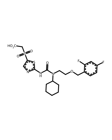 O=C(O)CS(=O)(=O)c1cnc(NC(=O)N(CCOCc2ccc(F)cc2F)C2CCCCC2)s1